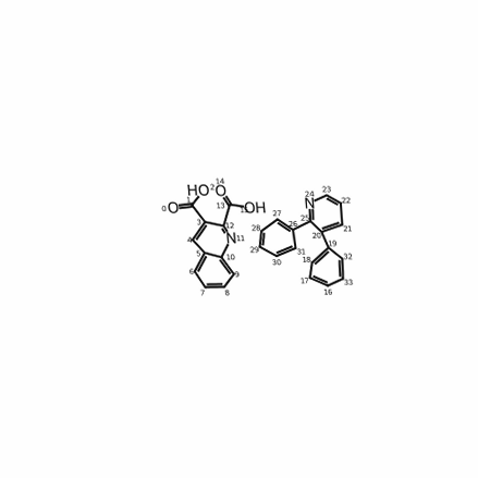 O=C(O)c1cc2ccccc2nc1C(=O)O.c1ccc(-c2cccnc2-c2ccccc2)cc1